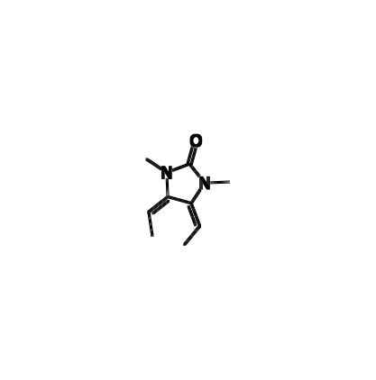 C/C=c1\c(=C/C)n(C)c(=O)n1C